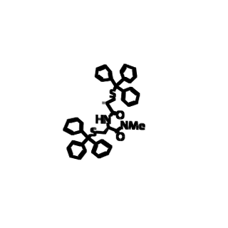 CNC(=O)[C@@H](CSC(c1ccccc1)(c1ccccc1)c1ccccc1)NC(=O)[CH]CSC(c1ccccc1)(c1ccccc1)c1ccccc1